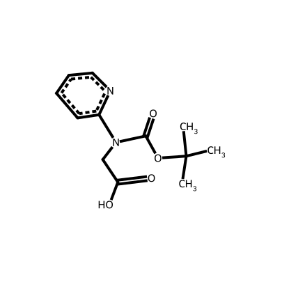 CC(C)(C)OC(=O)N(CC(=O)O)c1ccccn1